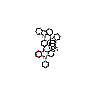 c1ccc(N(c2ccccc2)c2ccc3sc4ccccc4c3c2N(c2ccccc2)c2ccc3c(c2)C2(c4ccccc4-c4ccccc42)c2cccc4c5ccccc5n-3c24)cc1